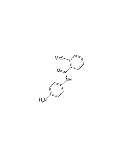 CSc1ccccc1C(=O)Nc1ccc(N)cc1